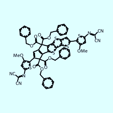 COc1cc(N=C(C#N)C#N)sc1C1=CC2=C(c3sc4c(sc5cc(-c6sc(N=C(C#N)C#N)cc6OC)sc54)c3C2(C(=O)OCc2ccccc2)C(=O)OCc2ccccc2)C1(C(=O)OCc1ccccc1)C(=O)OCc1ccccc1